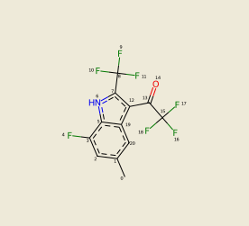 Cc1cc(F)c2[nH]c(C(F)(F)F)c(C(=O)C(F)(F)F)c2c1